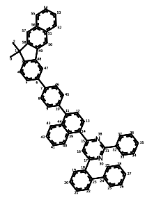 CC1(C)c2ccc(-c3ccc(-c4ccc(-c5cc(-c6ccccc6-c6ccccc6)nc(-c6ccccc6)n5)c5ccccc45)cc3)cc2-c2cc3ccccc3cc21